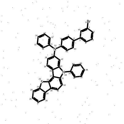 Brc1cccc(-c2ccc(N(c3ccccc3)c3ccc4c5c6sc7ccccc7c6ccc5n(-c5ccccc5)c4c3)cc2)c1